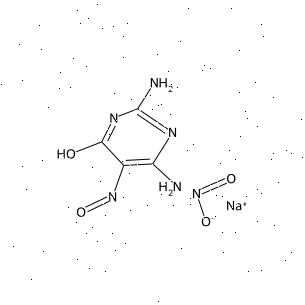 Nc1nc(N)c(N=O)c(O)n1.O=N[O-].[Na+]